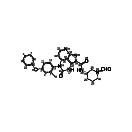 Cc1cc(Oc2ccccc2)ccc1N1C(=O)Nc2c(C(=O)N[C@H]3CCCN(C=O)C3)sc3nccc1c23